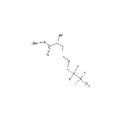 CC(C)C(SCCCC(F)(F)C(F)(F)C(F)(F)F)C(=O)OC(C)(C)C